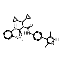 Cc1n[nH]c(C)c1-c1ccc(NC(=O)C(C(=O)Nc2ccccc2N)C(C2CC2)C2CC2)cc1